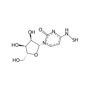 O=c1nc(NS)ccn1[C@@H]1O[C@H](CO)[C@@H](O)[C@H]1O